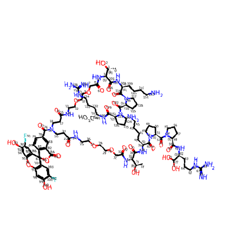 C[C@@H](O)[C@H](NC(=O)COCCOCCNC(=O)CCN(CCC(=O)NCCOCCOCC(=O)N[C@H](C(=O)N[C@@H](CCCCN)C(=O)N1CCC[C@H]1C(=O)N1CCC[C@H]1C(=O)N[C@@H](CCCNC(=N)N)C(O)O)[C@@H](C)O)C(=O)c1ccc2c(c1)C(=O)OC21c2cc(F)c(O)cc2Oc2cc(O)c(F)cc21)C(=O)N[C@@H](CCCCN)C(=O)N1CCC[C@H]1C(=O)N1CCC[C@H]1C(=O)N[C@@H](CCCNC(=N)N)C(=O)O